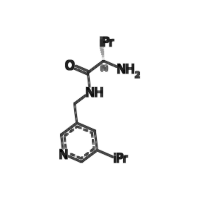 CC(C)c1cncc(CNC(=O)[C@@H](N)C(C)C)c1